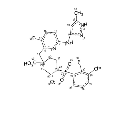 CC[C@@H]1C[C@](Cc2nc(Nc3cc(C)[nH]n3)ccc2F)(C(=O)O)CCN1S(=O)(=O)c1cccc(Cl)c1F